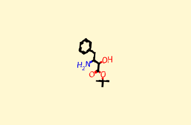 CC(C)(C)OC(=O)C(O)C(N)Cc1ccccc1